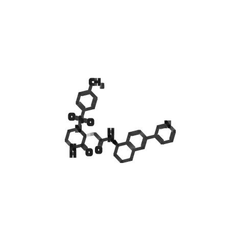 Cc1ccc(S(=O)(=O)N2CCNC(=O)[C@H]2CC(=O)N[C@@H]2CCCc3cc(-c4cccnc4)ccc32)cc1